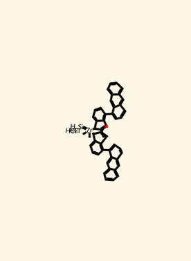 CC1=Cc2c(-c3cccc4cc5ccccc5cc34)cccc2[CH]1[Zr]([CH3])([CH3])(=[SiH2])[CH]1C(C)=Cc2c(-c3cccc4cc5ccccc5cc34)cccc21.Cl.Cl